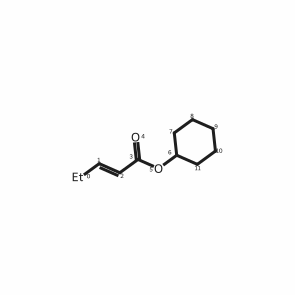 CCC=CC(=O)OC1CCCCC1